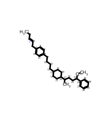 CC/C=C/Cc1ccc(CCCCC2CCC(C(C)CCC(OC)c3ccccc3)CC2)cc1